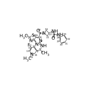 Cc1nc2nc(NC(C)C3=CC(F)=CN(C)C3)nc(C(=O)N3CC(NC(=O)Nc4ccccc4)C3)c2s1